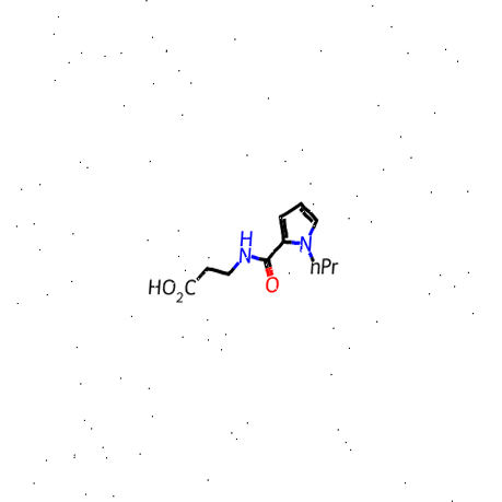 CCCn1cccc1C(=O)NCCC(=O)O